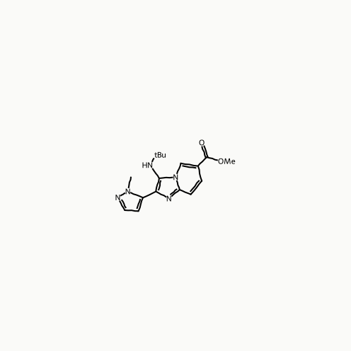 COC(=O)c1ccc2nc(-c3ccnn3C)c(NC(C)(C)C)n2c1